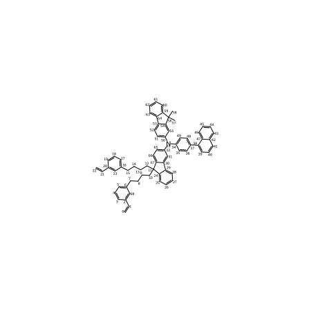 C=Cc1cccc(CCCCC2(CCCCc3cccc(C=C)c3)c3ccccc3-c3cc(N(c4ccc(-c5cccc6ccccc56)cc4)c4ccc5c(c4)C(C)(C)c4ccccc4-5)ccc32)c1